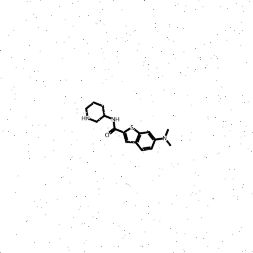 CN(C)c1ccc2cc(C(=O)NC3CCCNC3)sc2c1